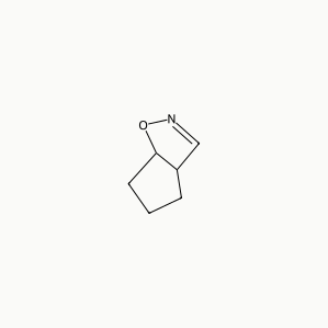 C1=NOC2CCCC12